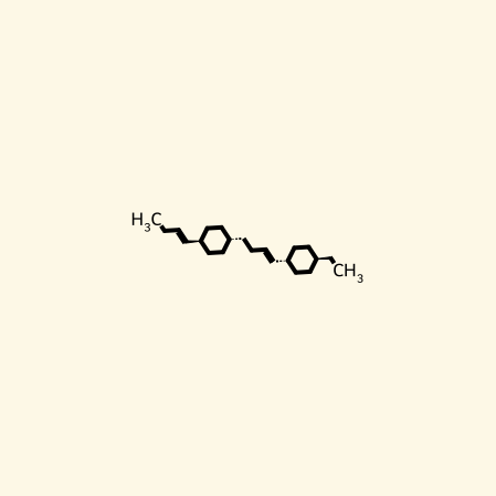 CC/C=C/[C@H]1CC[C@H](CC/C=C/[C@H]2CC[C@H](CC)CC2)CC1